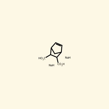 O=C(O)C1C2C=CC(C2)C1C(=O)O.[NaH].[NaH]